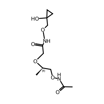 CC(=O)NOC[C@@H](C)OCC(=O)NOCC1(O)CC1